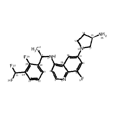 C[C@@H](Nc1ccnc2c(F)cc(N3CC[C@@H](N)C3)cc12)c1cccc(C(F)F)c1F